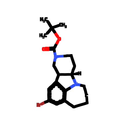 CC(C)(C)OC(=O)N1CC[C@H]2C(C1)c1cc(Br)cc3c1N2CCCC3